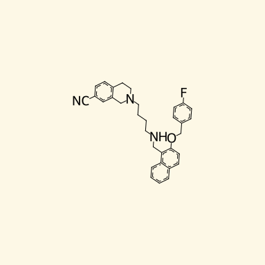 N#Cc1ccc2c(c1)CN(CCCCNCc1c(OCc3ccc(F)cc3)ccc3ccccc13)CC2